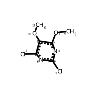 COc1nc(Cl)nc(Cl)c1OC